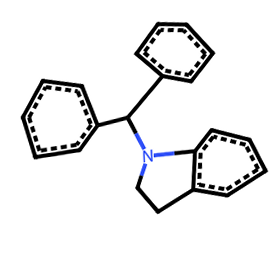 c1ccc(C(c2ccccc2)N2CCc3ccccc32)cc1